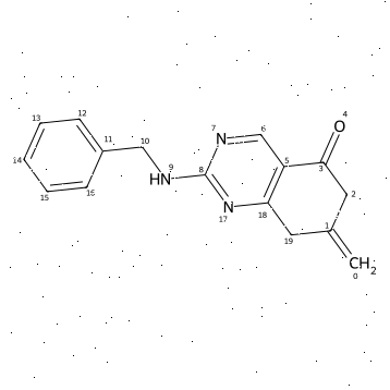 C=C1CC(=O)c2cnc(NCc3ccccc3)nc2C1